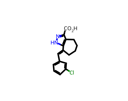 O=C(O)c1n[nH]c2c1CCCCC2=Cc1cccc(Cl)c1